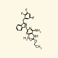 CCOC(=O)Nc1c(N)nc(-n2nc(Cc3cc(F)cc(F)c3F)c3ccccc32)nc1N